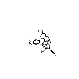 CC#CC1C[C@H]2[C@@H]3CCC4=CC(=N)CCC4=C3[C@@H](c3ccc4c(c3)OCO4)C[C@]2(C)[C@H]1O